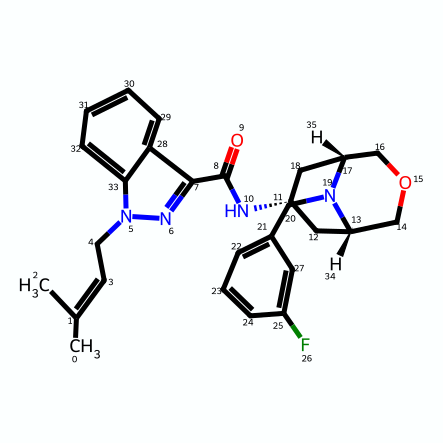 CC(C)=CCn1nc(C(=O)N[C@H]2C[C@H]3COC[C@@H](C2)N3Cc2cccc(F)c2)c2ccccc21